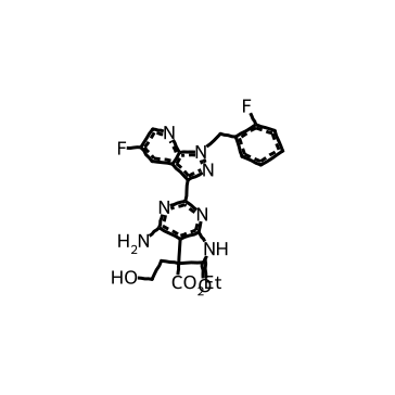 CCOC(=O)C1(CCO)C(=O)Nc2nc(-c3nn(Cc4ccccc4F)c4ncc(F)cc34)nc(N)c21